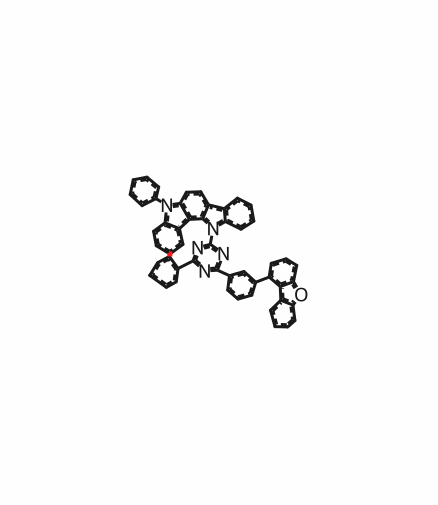 c1ccc(-c2nc(-c3cccc(-c4cccc5oc6ccccc6c45)c3)nc(-n3c4ccccc4c4ccc5c(c6ccccc6n5-c5ccccc5)c43)n2)cc1